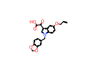 C=CCOc1ccc2c(c1)c(C(=O)C(=O)O)cn2Cc1ccc2c(c1)OCO2